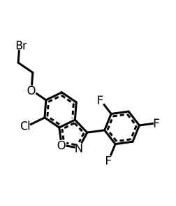 Fc1cc(F)c(-c2noc3c(Cl)c(OCCBr)ccc23)c(F)c1